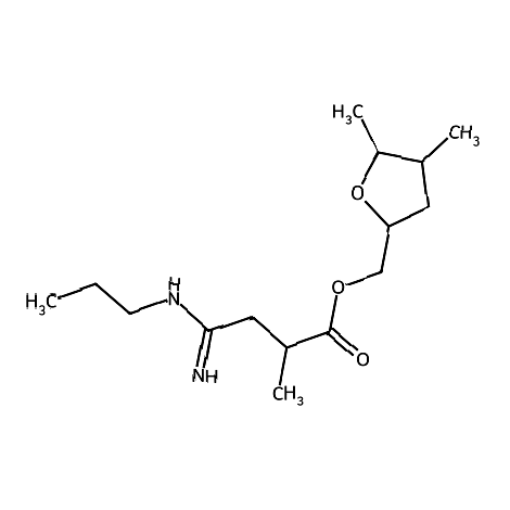 CCCNC(=N)CC(C)C(=O)OCC1CC(C)C(C)O1